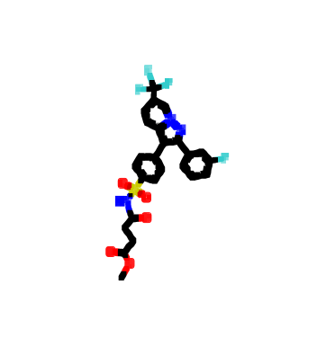 COC(=O)CCC(=O)NS(=O)(=O)c1ccc(-c2c(-c3cccc(F)c3)nn3cc(C(F)(F)F)ccc23)cc1